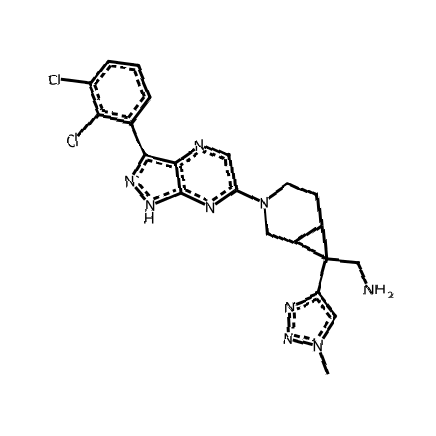 Cn1cc(C2(CN)C3CCN(c4cnc5c(-c6cccc(Cl)c6Cl)n[nH]c5n4)CC32)nn1